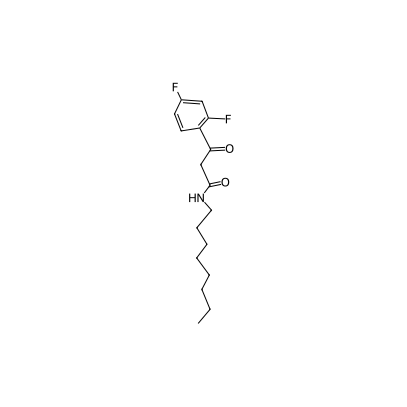 CCCCCCCCNC(=O)CC(=O)c1ccc(F)cc1F